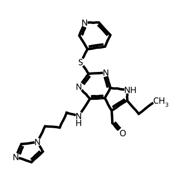 CCc1[nH]c2nc(Sc3cccnc3)nc(NCCCn3ccnc3)c2c1C=O